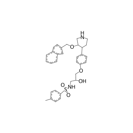 Cc1ccc(S(=O)(=O)NCC(O)COc2ccc(C3CCNCC3OCc3ccc4ccccc4c3)cc2)cc1